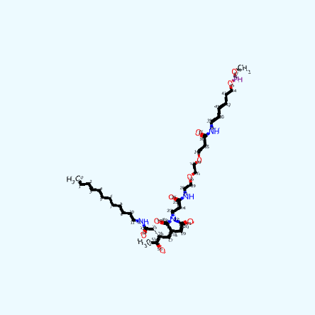 CCCCCCCCCCCCNC(=O)C[C@H](CC1CC(=O)N(CCC(=O)NCCOCCOCCC(=O)NCCCCCCOPOC)C1=O)C(C)=O